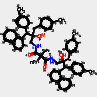 CCCC(CCC)(C(=O)NCC(O)(Cc1ccc(C)cc1)C(c1ccc(C)cc1)c1cccc2ccccc12)C(=O)NCC(O)(Cc1ccc(C)cc1)C(c1ccc(C)cc1)c1cccc2ccccc12